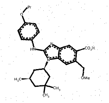 COCc1cc2c(cc1C(=O)O)nc(Nc1ccc(OC(C)C)cc1)n2[C@@H]1C[C@H](C)CC(C)(C)C1